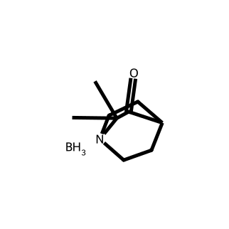 B.CC1(C)C(=O)C2CCN1CC2